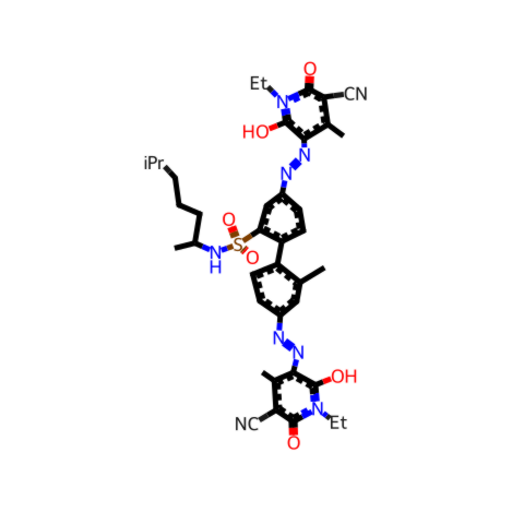 CCn1c(O)c(N=Nc2ccc(-c3ccc(N=Nc4c(C)c(C#N)c(=O)n(CC)c4O)cc3S(=O)(=O)NC(C)CCCC(C)C)c(C)c2)c(C)c(C#N)c1=O